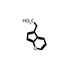 O=C(O)Cc1ccc2occcc1-2